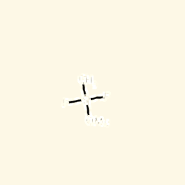 CO[Si](C)(F)F